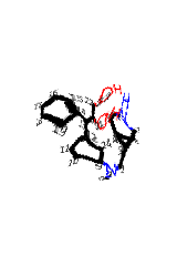 CN(CC1C2CNCC21)C1CCC(C(c2ccccc2)C(O)CO)C1